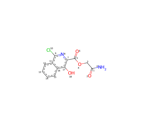 NC(=O)COC(=O)c1nc(Cl)c2ccccc2c1O